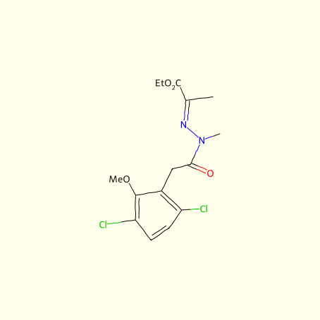 CCOC(=O)C(C)=NN(C)C(=O)Cc1c(Cl)ccc(Cl)c1OC